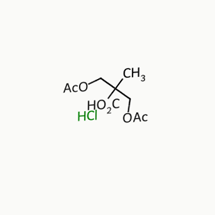 CC(=O)OCC(C)(COC(C)=O)C(=O)O.Cl